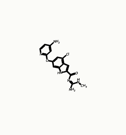 CNC(N)=NC(=O)c1cc2c(Cl)cc(Oc3cc(N)ccn3)cc2[nH]1